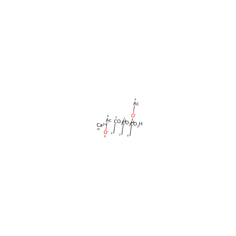 CC(=O)O.CC(=O)O.CC(=O)O.CC(=O)[O-].CC(=O)[O-].[Ca+2]